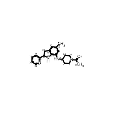 CC(=O)N1CCC(Nc2cc(C)cc3c2NC(c2ccccn2)C3)CC1